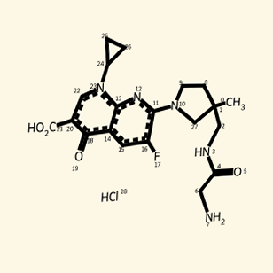 CC1(CNC(=O)CN)CCN(c2nc3c(cc2F)c(=O)c(C(=O)O)cn3C2CC2)C1.Cl